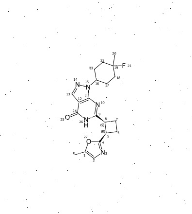 Cc1cnc([C@@H]2CC[C@@H]2c2nc3c(cnn3C3CCC(C)(F)CC3)c(=O)[nH]2)o1